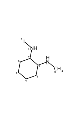 CNC1CCCCC1NI